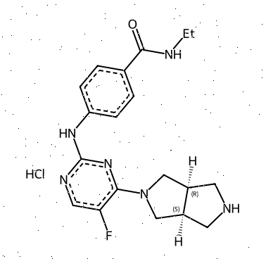 CCNC(=O)c1ccc(Nc2ncc(F)c(N3C[C@H]4CNC[C@H]4C3)n2)cc1.Cl